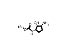 CC(C)(C)OC(=O)N[C@H]1CC[C@H](N)[C@H]1O